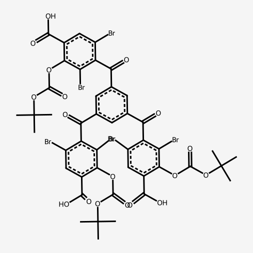 CC(C)(C)OC(=O)Oc1c(C(=O)O)cc(Br)c(C(=O)c2cc(C(=O)c3c(Br)cc(C(=O)O)c(OC(=O)OC(C)(C)C)c3Br)cc(C(=O)c3c(Br)cc(C(=O)O)c(OC(=O)OC(C)(C)C)c3Br)c2)c1Br